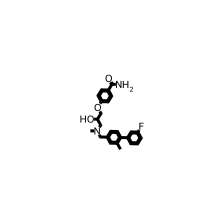 Cc1cc(CN(C)CC(O)COc2ccc(C(N)=O)cc2)ccc1-c1cccc(F)c1